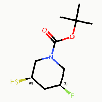 CC(C)(C)OC(=O)N1C[C@@H](F)C[C@@H](S)C1